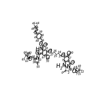 C=C1C[C@@H](CO[Si](C)(C)C(C)(C)C)N(C(=O)c2cc(OC)c(OCCCCCOc3cc(NC(=O)OCc4ccc(SSC(C)(C)C)cc4)c(C(=O)N4CC(=C)C[C@H]4CO[Si](C)(C)C(C)(C)C)cc3OC)cc2N)C1